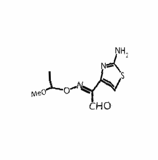 COC(C)O/N=C(\[C]=O)c1csc(N)n1